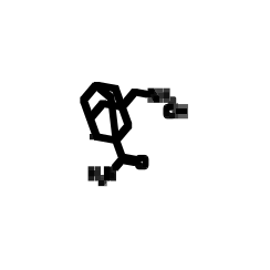 Cl.NCC12CC3[CH]C(C(N)=O)(CC(C3)C1)C2